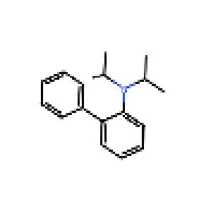 CC(C)N(c1ccccc1-c1ccccc1)C(C)C